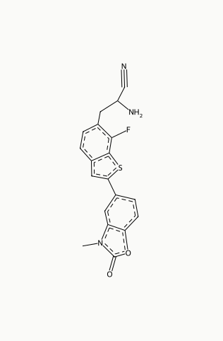 Cn1c(=O)oc2ccc(-c3cc4ccc(CC(N)C#N)c(F)c4s3)cc21